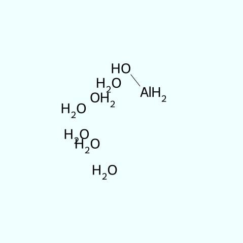 O.O.O.O.O.O.[OH][AlH2]